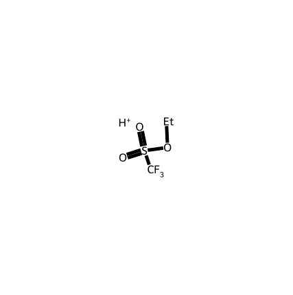 CCOS(=O)(=O)C(F)(F)F.[H+]